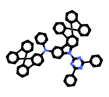 c1ccc(-c2nc(-c3ccccc3)nc(-n3c4ccc(N(c5ccccc5)c5ccc6c(c5)[Si]5(c7ccccc7-c7ccccc75)c5ccccc5-6)cc4c4c5c(ccc43)[Si]3(c4ccccc4-c4ccccc43)c3ccccc3-5)n2)cc1